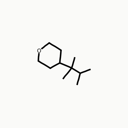 CC(C)C(C)(C)C1CCOCC1